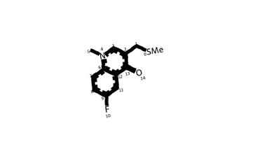 CSCc1cn(C)c2ccc(F)cc2c1=O